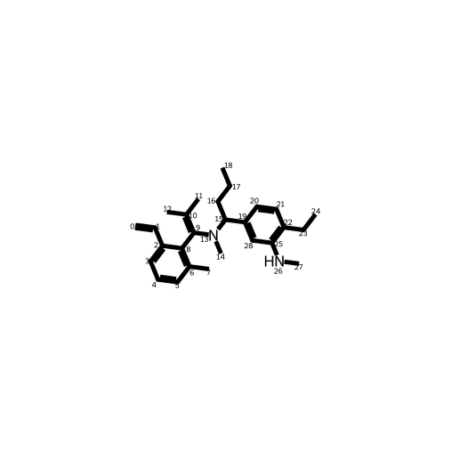 C=Cc1cccc(C)c1C(=C(C)C)N(C)C(CCC)c1ccc(CC)c(NC)c1